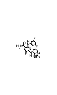 CNC1C(Nc2nc(Nc3cc(F)cc(F)c3)c(C(N)=O)cc2F)CCCC1(F)F